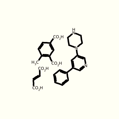 Cc1ccc(C(=O)O)cc1C(=O)O.O=C(O)/C=C/C(=O)O.c1ccc(-c2cncc(N3CCNCC3)c2)cc1